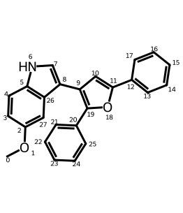 COc1ccc2[nH]cc(-c3cc(-c4ccccc4)oc3-c3ccccc3)c2c1